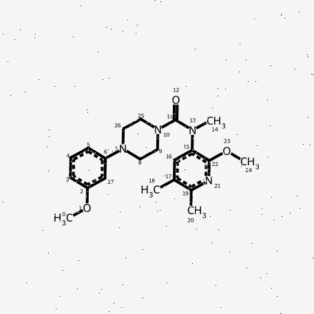 COc1cccc(N2CCN(C(=O)N(C)c3cc(C)c(C)nc3OC)CC2)c1